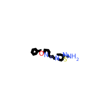 Nc1nc2c(s1)CCN(C/C=C/c1cccc(OCc3ccccc3)n1)CC2